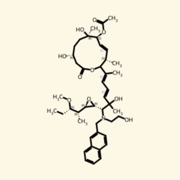 CC[C@H](OC)[C@@H](C)[C@H]1O[C@@H]1C(N(CCO)Cc1ccc2ccccc2c1)C(C)(O)/C=C/C=C(\C)C1OC(=O)C[C@H](O)CC[C@@](C)(O)[C@@H](OC(C)=O)/C=C/[C@@H]1C